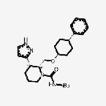 CCC(C)NC(=O)N1CCC[C@H](c2cc[nH]n2)[C@@H]1CO[C@H]1CC[C@@H](c2ccccc2)CC1